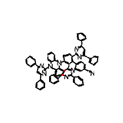 N#Cc1ccc(-c2c(-c3nc(-c4ccccc4)cc(-c4ccccc4)n3)ccc(N3c4ccccc4N(c4nc(-c5ccccc5)cc(-c5ccccc5)n4)c4ccccc43)c2-c2cc(-c3ccccc3)nc(-c3ccccc3)n2)cc1